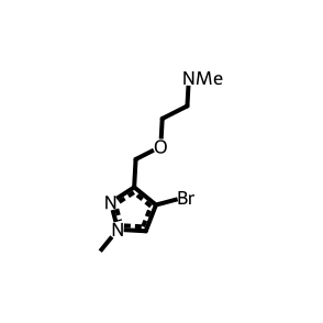 CNCCOCc1nn(C)cc1Br